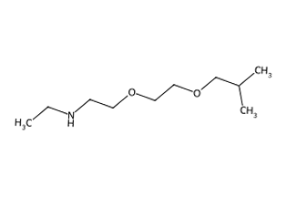 CCNCCOCCOCC(C)C